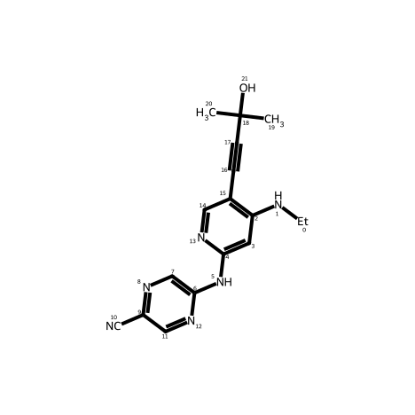 CCNc1cc(Nc2cnc(C#N)cn2)ncc1C#CC(C)(C)O